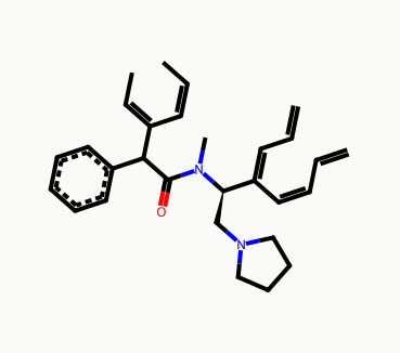 C=C/C=C\C(=C/C=C)[C@@H](CN1CCCC1)N(C)C(=O)C(C(/C=C\C)=C/C)c1ccccc1